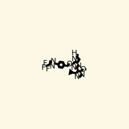 COc1ncnc(C2CC2)c1-c1nc(OCc2ccc(-c3nc(C(F)(F)F)cn3C)cc2)c2[nH]c(C)cc2n1